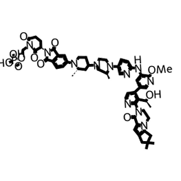 COc1ncc(-c2ccnc(N3CCn4c(cc5c4CC(C)(C)C5)C3=O)c2[C@H](C)O)cc1Nc1ccc(N2CCN(C3CCN(c4ccc5c(c4)C(=O)N([C@H]4CCC(=O)N(COP(=O)(O)O)C4=O)C5=O)[C@@H](C)C3)C[C@@H]2C)cn1